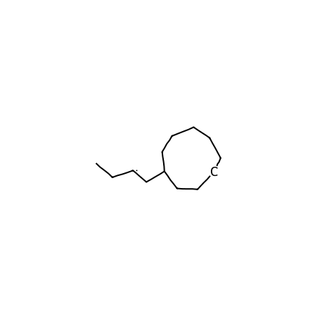 CC[CH]CC1CCCCCCCC1